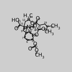 COC(=O)Oc1ccc(CC(N)(C[C@H](C)OC(=O)CCC(C)C)C(=O)O)cc1OC(=O)OC